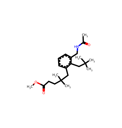 COC(=O)CCC(C)(C)Cc1cccc(CNC(C)=O)c1CC(C)(C)C